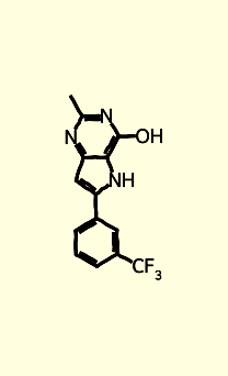 Cc1nc(O)c2[nH]c(-c3cccc(C(F)(F)F)c3)cc2n1